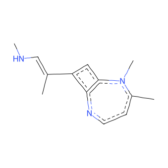 CN/C=C(\C)c1cc2n(C)c(C)ccnc1=2